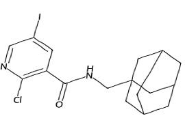 O=C(NCC12CC3CC(CC(C3)C1)C2)c1cc(I)cnc1Cl